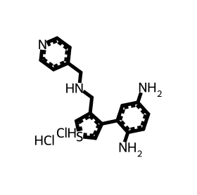 Cl.Cl.Nc1ccc(N)c(-c2cscc2CNCc2ccncc2)c1